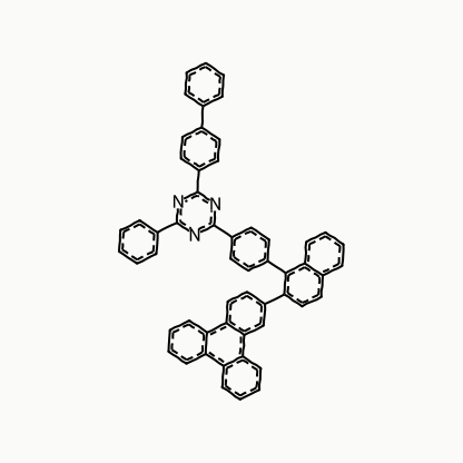 c1ccc(-c2ccc(-c3nc(-c4ccccc4)nc(-c4ccc(-c5c(-c6ccc7c8ccccc8c8ccccc8c7c6)ccc6ccccc56)cc4)n3)cc2)cc1